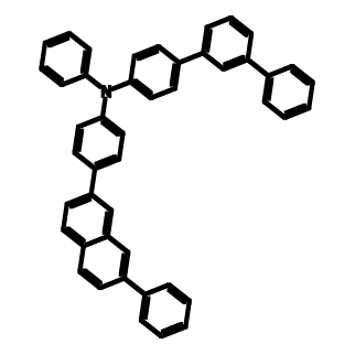 c1ccc(-c2cccc(-c3ccc(N(c4ccccc4)c4ccc(-c5ccc6ccc(-c7ccccc7)cc6c5)cc4)cc3)c2)cc1